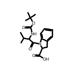 CC(C)C(NC(=O)OC(C)(C)C)C(=O)N1c2ccccc2CC1C(=O)O